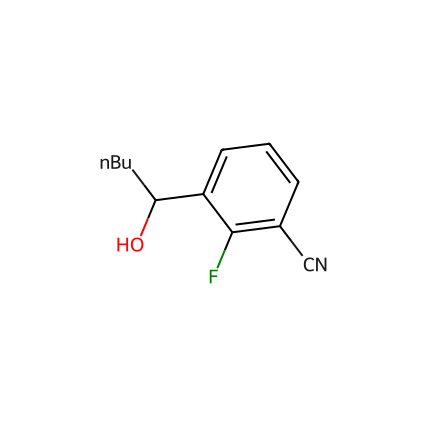 CCCCC(O)c1cccc(C#N)c1F